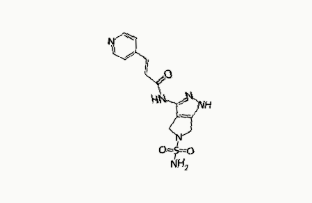 NS(=O)(=O)N1Cc2[nH]nc(NC(=O)C=Cc3ccncc3)c2C1